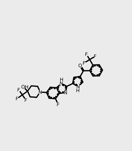 O=C(c1c[nH]c(-c2nc3c(F)cc(N4CCC(O)(C(F)(F)F)CC4)cc3[nH]2)c1)c1ccccc1C(F)(F)F